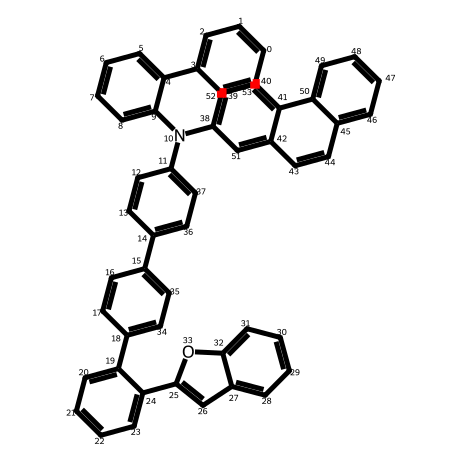 c1ccc(-c2ccccc2N(c2ccc(-c3ccc(-c4ccccc4-c4cc5ccccc5o4)cc3)cc2)c2ccc3c(ccc4ccccc43)c2)cc1